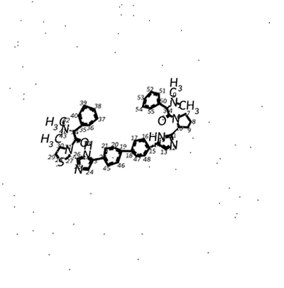 CN(C)[C@@H](C(=O)N1CCC[C@H]1c1ncc(-c2ccc(-c3ccc(-c4cnc([C@@H]5SCCN5C(=O)[C@@H](c5ccccc5)N(C)C)[nH]4)cc3)cc2)[nH]1)c1ccccc1